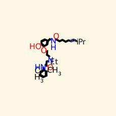 CCN(CCCOc1cc(CNC(=O)CCCC/C=C/C(C)C)ccc1O)CC(=O)Nc1c(C)cccc1C